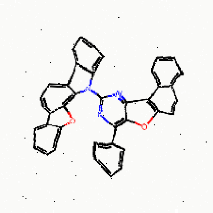 c1ccc(-c2nc(-n3c4ccccc4c4ccc5c6ccccc6oc5c43)nc3c2oc2ccc4ccccc4c23)cc1